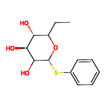 CCC1O[C@H](Sc2ccccc2)C(O)[C@@H](O)[C@@H]1O